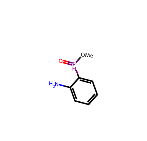 CO[PH](=O)c1ccccc1N